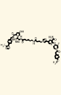 Cc1ncsc1-c1ccc(CNC(=O)C2C[C@@H](O)CN2C(=O)[C@@H](NC(=O)CCCCCNC(=O)CCCn2cnc(-c3cnc(O[C@@H]4CCN(C(=O)Cc5ccc(OC(F)(F)F)cc5)C[C@H]4F)c(C(N)=O)c3)c2)C(C)(C)C)cc1